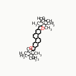 CC(C)[Si](c1cc2cc3ccc4c5cc6oc([Si](C(C)C)(C(C)C)C(C)C)cc6cc5ccc4c3cc2o1)(C(C)C)C(C)C